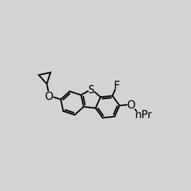 CCCOc1ccc2c(sc3cc(OC4CC4)ccc32)c1F